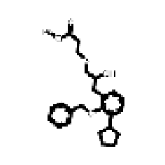 CC(C)OC(=O)CCSCC(O)Cc1cccc(C2CCCC2)c1OCc1ccccc1